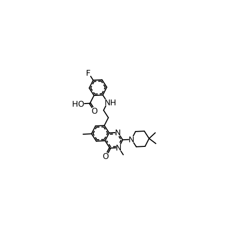 Cc1cc(CCNc2ccc(F)cc2C(=O)O)c2nc(N3CCC(C)(C)CC3)n(C)c(=O)c2c1